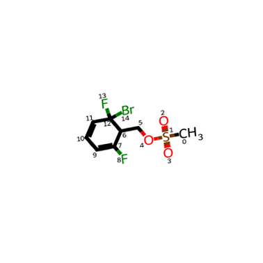 CS(=O)(=O)OCC1C(F)=CC=CC1(F)Br